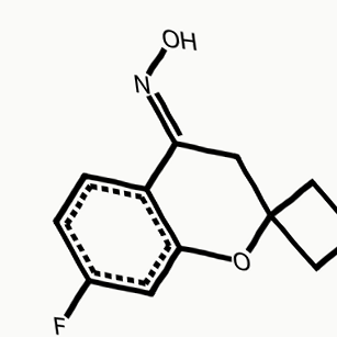 ON=C1CC2(CCC2)Oc2cc(F)ccc21